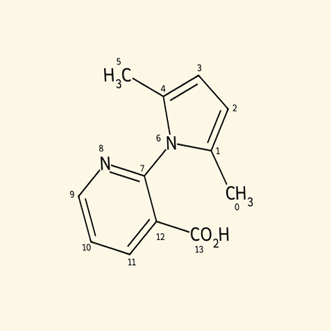 Cc1ccc(C)n1-c1ncccc1C(=O)O